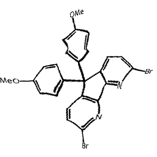 COc1ccc(C2(c3ccc(OC)cc3)c3ccc(Br)nc3-c3nc(Br)ccc32)cc1